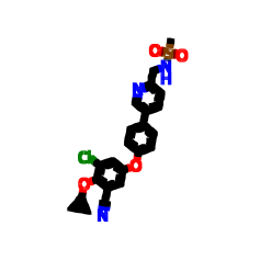 CS(=O)(=O)NCc1ccc(-c2ccc(Oc3cc(Cl)c(OC4CC4)c(C#N)c3)cc2)cn1